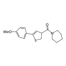 COc1ccc(C2=CC(C(=O)N3CCCCC3)CS2)cc1